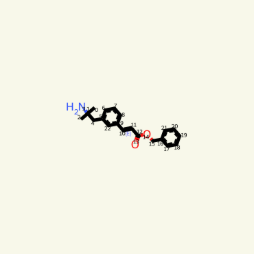 CC(C)(N)Cc1cccc(/C=C/C(=O)OCc2ccccc2)c1